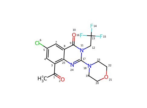 CC(=O)c1cc(Cl)cc2c(=O)n(CC(F)(F)F)c(N3CCOCC3)nc12